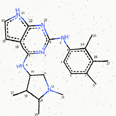 Cc1ccc(Nc2nc(NC3CN(C)C(C)C3C)c3cc[nH]c3n2)c(C)c1C